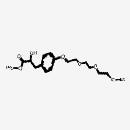 CCOCCOCCOCCOc1ccc(CC(O)C(=O)OC(C)(C)C)cc1